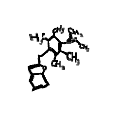 Cc1c(C)c([S+](C)C)c(C)c(C)c1Cc1cc2ccccc2o1